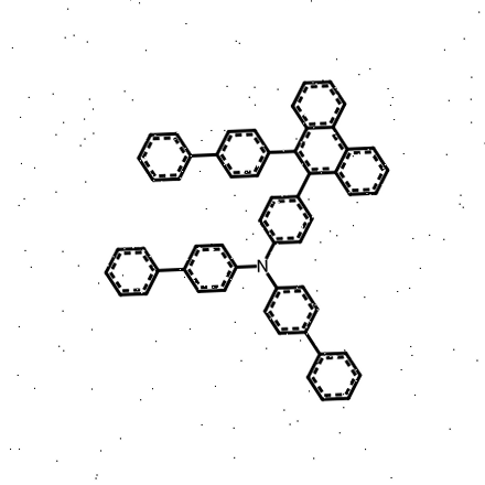 c1ccc(-c2ccc(-c3c(-c4ccc(N(c5ccc(-c6ccccc6)cc5)c5ccc(-c6ccccc6)cc5)cc4)c4ccccc4c4ccccc34)cc2)cc1